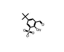 CC(C)(C)c1cc(C=O)c(O)c(S([O])(=O)=O)c1